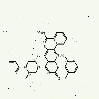 C=CC(=O)N1C[C@H](C)N(c2nc(=O)n(-c3c(C)ccnc3C(C)C)c3nc(-c4ccccc4C(=O)NC)c(F)cc23)C[C@H]1C